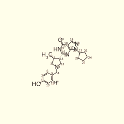 C[C@@H]1CN(Cc2ccc(O)cc2F)C[C@H]1c1nc2c(cnn2C2CCCC2)c(=O)[nH]1